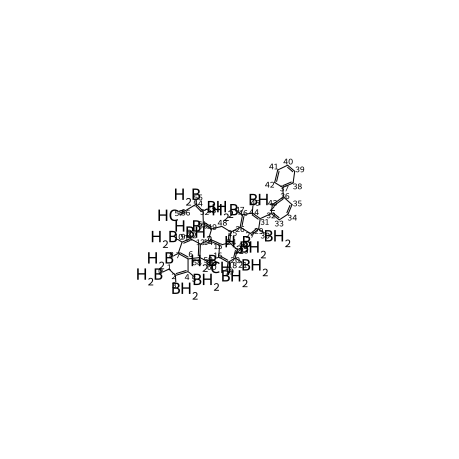 BC/C(B)=C(/B)c1c(B)c(B)c(B)c(C2=c3c(B)c(B)c(B)c(B)c3=C(c3c(B)c(B)c(-c4cccc(-c5ccccc5)c4)c(B)c3B)C/C2=C(B)\C(B)=C(\B)C#C)c1C#C